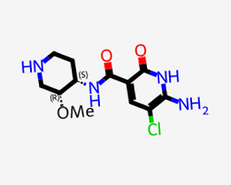 CO[C@@H]1CNCC[C@@H]1NC(=O)c1cc(Cl)c(N)[nH]c1=O